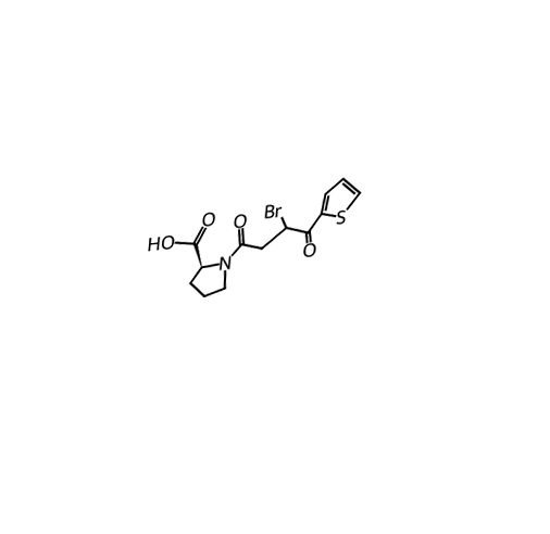 O=C(c1cccs1)C(Br)CC(=O)N1CCC[C@H]1C(=O)O